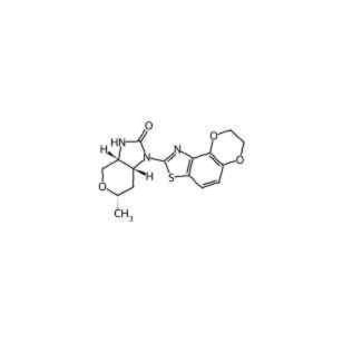 C[C@H]1C[C@@H]2[C@H](CO1)NC(=O)N2c1nc2c3c(ccc2s1)OCCO3